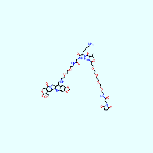 CC[C@@]1(O)C(=O)OCc2c1cc1n(c2=O)Cc2c-1nc1cc3c(cc1c2CNCCOCCOCCNC(=O)CNC(=O)[C@H](CCCCN)NC(=O)[C@@H](NC(=O)CCOCCOCCOCCOCCNC(=O)CCN1C(=O)C=CC1=O)C(C)C)OCO3